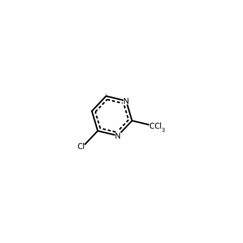 Clc1c[c]nc(C(Cl)(Cl)Cl)n1